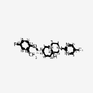 Fc1cnc(N2CCN3C[C@@H](COc4ccc(F)cc4C(F)(F)F)CC[C@H]3C2)nc1